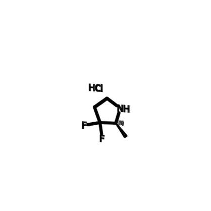 C[C@@H]1NCCC1(F)F.Cl